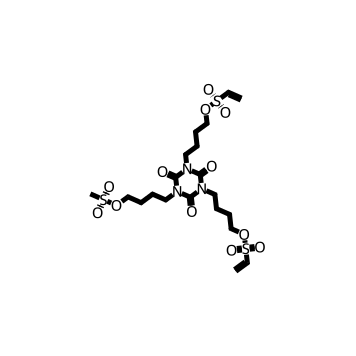 C=CS(=O)(=O)OCCCCn1c(=O)n(CCCCOS(C)(=O)=O)c(=O)n(CCCCOS(=O)(=O)C=C)c1=O